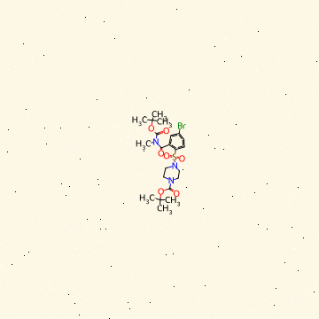 CN(C(=O)OC(C)(C)C)C(=O)c1cc(Br)ccc1S(=O)(=O)N1CCN(C(=O)OC(C)(C)C)CC1